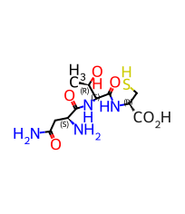 C[C@@H](O)[C@H](NC(=O)[C@@H](N)CC(N)=O)C(=O)N[C@@H](CS)C(=O)O